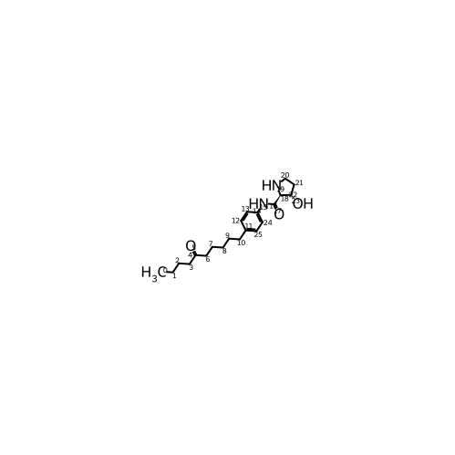 CCCCC(=O)CCCCCc1ccc(NC(=O)[C@H]2NCC[C@@H]2O)cc1